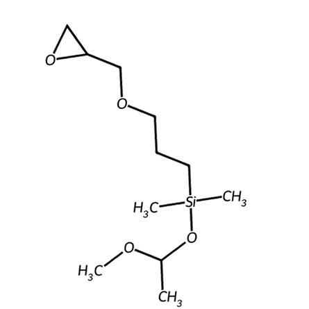 COC(C)O[Si](C)(C)CCCOCC1CO1